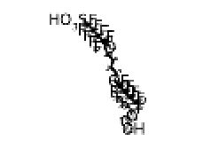 O=S(=O)(O)C(F)(F)C(F)(F)C(F)(F)C(F)(F)OCCCCOC(F)(F)C(F)(F)C(F)(F)C(F)(F)SOOO